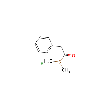 C[S+](C)C(=O)Cc1ccccc1.[Br-]